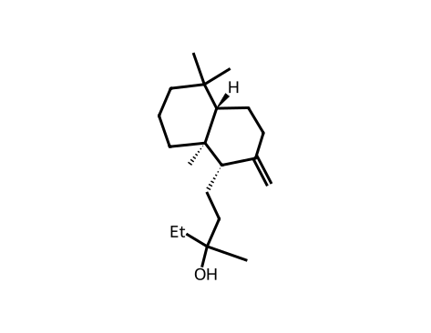 C=C1CC[C@H]2C(C)(C)CCC[C@]2(C)[C@H]1CCC(C)(O)CC